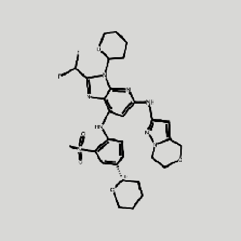 CS(=O)(=O)c1cc([C@@H]2CCCCO2)ccc1Nc1cc(Nc2cc3n(n2)CCOC3)nc2c1nc(C(F)F)n2C1CCCCO1